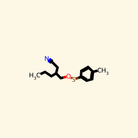 CCCC(CC#N)COSc1ccc(C)cc1